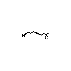 CC(=O)CCC#CCCCC#N